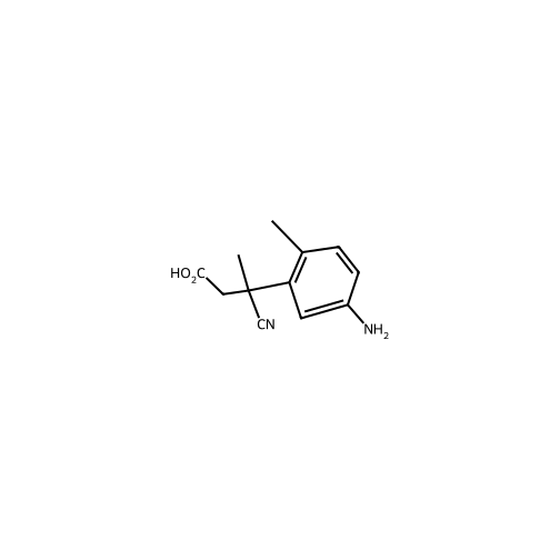 Cc1ccc(N)cc1C(C)(C#N)CC(=O)O